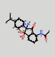 CC(=O)Nc1cccc2c1C(=O)C1(N)c3ccc(C(C)C)cc3OC21O